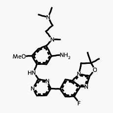 COc1cc(N(C)CCN(C)C)c(N)cc1Nc1nccc(-c2cc(F)c3nc4n(c3c2)CC(C)(C)O4)n1